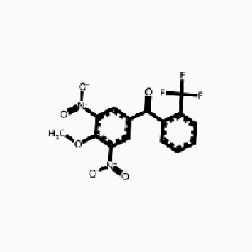 COc1c([N+](=O)[O-])cc(C(=O)c2ccccc2C(F)(F)F)cc1[N+](=O)[O-]